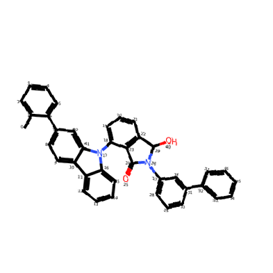 Cc1ccccc1-c1ccc2c3ccccc3n(-c3cccc4c3C(=O)N(c3cccc(-c5ccccc5)c3)C4O)c2c1